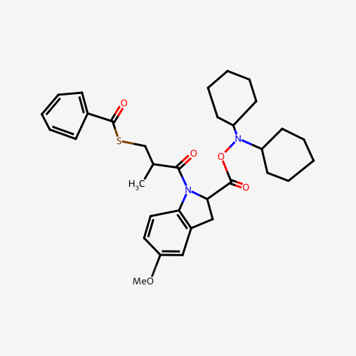 COc1ccc2c(c1)CC(C(=O)ON(C1CCCCC1)C1CCCCC1)N2C(=O)C(C)CSC(=O)c1ccccc1